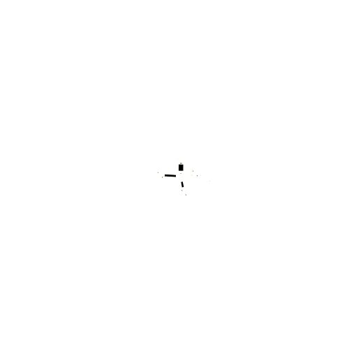 N[As](N)(N)=O